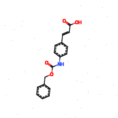 O=C(O)C=Cc1ccc(NC(=O)OCc2ccccc2)cc1